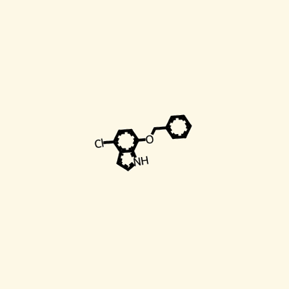 Clc1ccc(OCc2ccccc2)c2[nH]ccc12